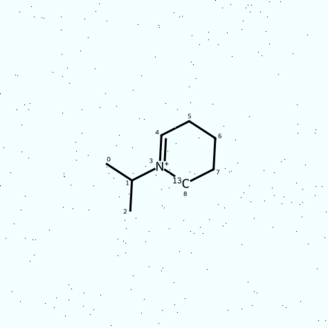 CC(C)[N+]1=CCCC[13CH2]1